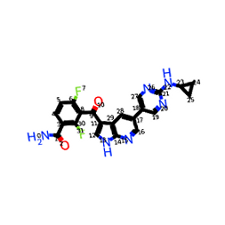 NC(=O)c1ccc(F)c(C(=O)c2c[nH]c3ncc(-c4cnc(NC5CC5)nc4)cc23)c1F